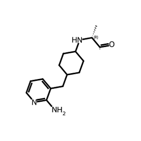 C[C@H]([C]=O)NC1CCC(Cc2cccnc2N)CC1